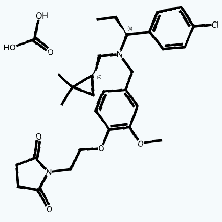 CC[C@@H](c1ccc(Cl)cc1)N(Cc1ccc(OCCN2C(=O)CCC2=O)c(OC)c1)C[C@H]1CC1(C)C.O=C(O)O